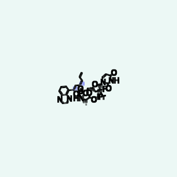 C=C/C=C\C=C(/OP(=O)(N[C@@H](C)C(=O)OC(C)C)OC[C@@H]1C[C@@](C)(F)[C@H](n2ccc(=O)[nH]c2=O)O1)c1cccc2nccnc12